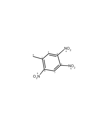 Cc1cc([N+](=O)[O-])c([N+](=O)[O-])cc1[N+](=O)[O-]